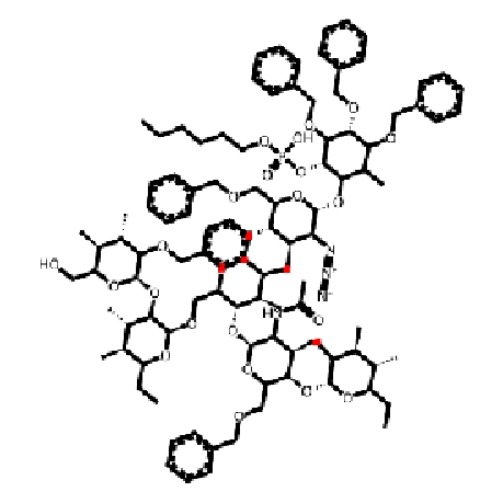 CCCCCCOP(=O)(O)O[C@@H]1C(OCc2ccccc2)[C@H](OCc2ccccc2)C(OCc2ccccc2)C(C)[C@H]1O[C@H]1OC(COCc2ccccc2)[C@@H](O[C@H]2OC(CO[C@H]3OC(CC)[C@@H](C)[C@H](C)C3O[C@H]3OC(CO)[C@@H](C)[C@H](C)C3OCc3ccccc3)[C@@H](O[C@@H]3OC(COCc4ccccc4)[C@H](O[C@H]4OC(CC)[C@@H](C)[C@H](C)C4C)[C@H](C)C3NC(C)=O)[C@H](C)C2C)[C@H](C)C1N=[N+]=[N-]